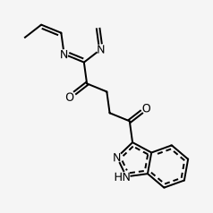 C=N/C(=N\C=C/C)C(=O)CCC(=O)c1n[nH]c2ccccc12